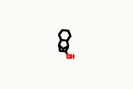 OC1CC2CC1C1CCCCC21